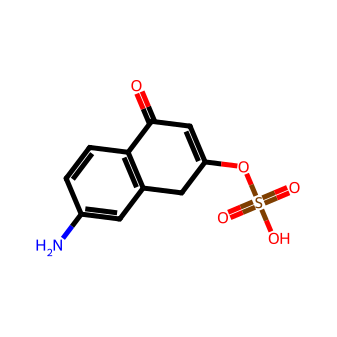 Nc1ccc2c(c1)CC(OS(=O)(=O)O)=CC2=O